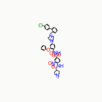 CN1CCC(CNc2ccc(S(=O)(=O)NC(=O)c3ccc(N4CCN(Cc5ccccc5-c5ccc(Cl)cc5)CC4)cc3Oc3ccccc3)cc2[N+](=O)[O-])CC1